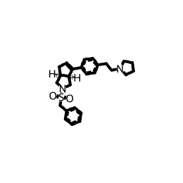 O=S(=O)(Cc1ccccc1)N1C[C@H]2CC=C(c3ccc(CCN4CCCC4)cc3)[C@H]2C1